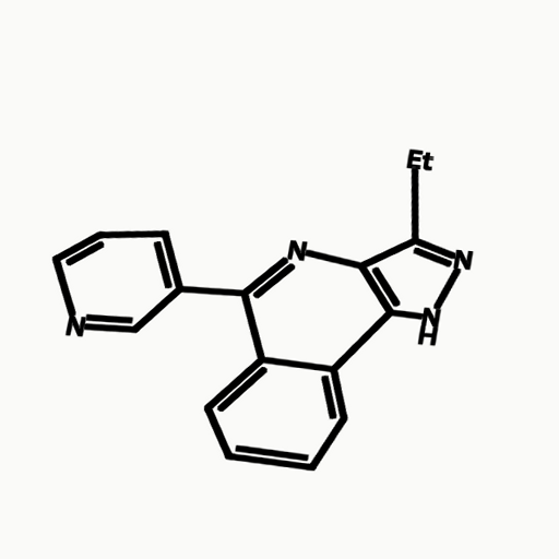 CCc1n[nH]c2c1nc(-c1cccnc1)c1ccccc12